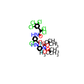 CC(C)(C)OC(=O)N(C(=O)OC(C)(C)C)c1c(F)ccc(NC(=O)c2cc(NC(=O)[C@H]3C(c4cc(Cl)c(Cl)c(Cl)c4)C3(Cl)Cl)ccc2Cl)c1F